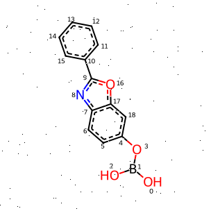 OB(O)Oc1ccc2nc(-c3ccccc3)oc2c1